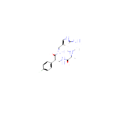 CC(C)N(C)[C@@H](C)C(=O)NC[C@H](C(=O)NCc1cnc(N)s1)c1ccc(F)cc1